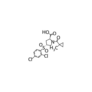 CC1(C(=O)N2C[C@H](S(=O)(=O)c3ccc(Cl)cc3Cl)C[C@H]2C(=O)O)CC1